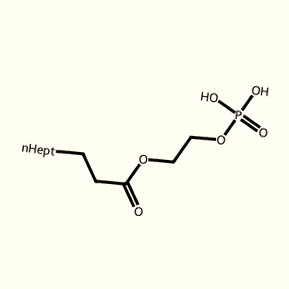 CCCCCCCCCC(=O)OCCOP(=O)(O)O